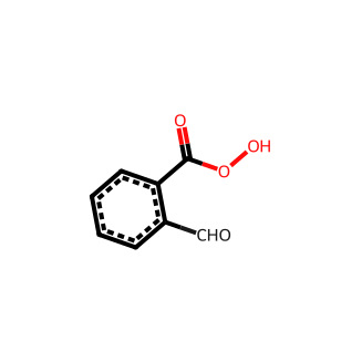 O=Cc1ccccc1C(=O)OO